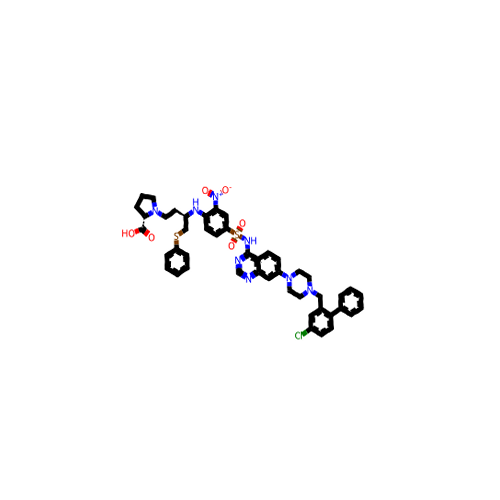 O=C(O)[C@@H]1CCCN1CC[C@H](CSc1ccccc1)Nc1ccc(S(=O)(=O)Nc2ncnc3cc(N4CCN(Cc5cc(Cl)ccc5-c5ccccc5)CC4)ccc23)cc1[N+](=O)[O-]